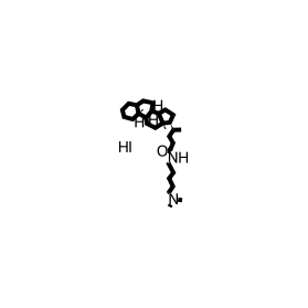 CC(CCC(=O)NCCCCCN(C)C)[C@H]1CC[C@H]2[C@@H]3CCC4CCCC[C@]4(C)[C@H]3CC[C@]12C.I